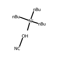 CCCC[N+](C)(CCCC)CCCC.N#CO